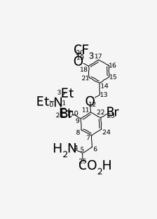 CCN(CC)CC.NC(Cc1cc(Br)c(OCc2cccc(OC(F)(F)F)c2)c(Br)c1)C(=O)O